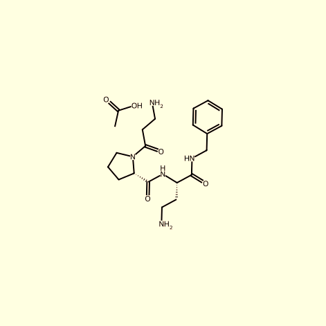 CC(=O)O.NCCC(=O)N1CCC[C@H]1C(=O)N[C@@H](CCN)C(=O)NCc1ccccc1